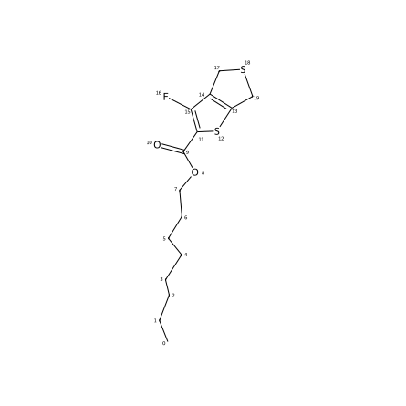 CCCCCCCCOC(=O)c1sc2c(c1F)CSC2